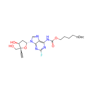 C#C[C@]1(CO)O[C@@H](n2cnc3c(NC(=O)OCCCCCCCCCCCCCC)nc(F)nc32)C[C@@H]1O